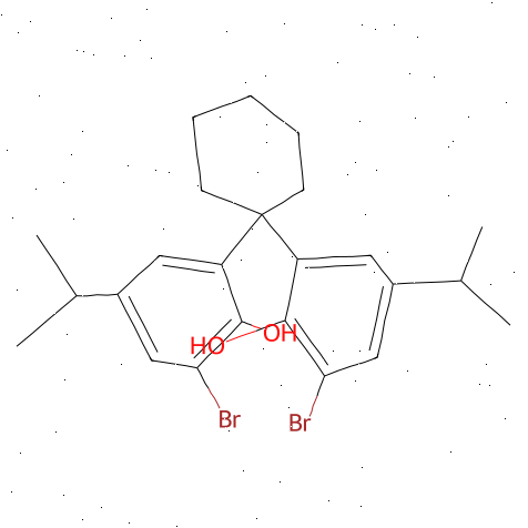 CC(C)c1cc(Br)c(O)c(C2(c3cc(C(C)C)cc(Br)c3O)CCCCC2)c1